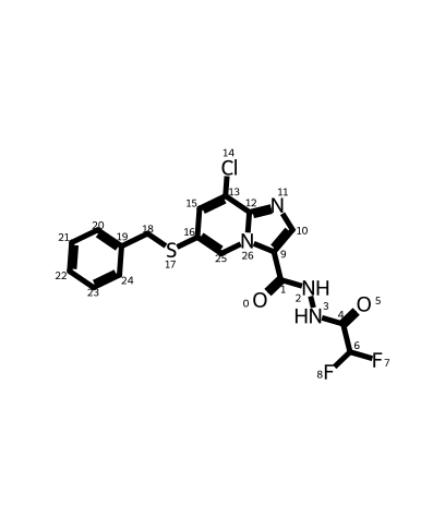 O=C(NNC(=O)C(F)F)c1cnc2c(Cl)cc(SCc3ccccc3)cn12